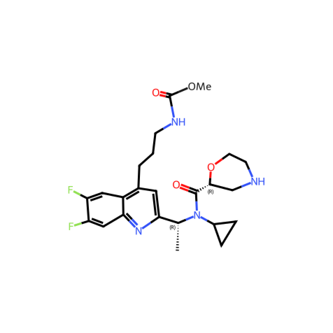 COC(=O)NCCCc1cc([C@@H](C)N(C(=O)[C@H]2CNCCO2)C2CC2)nc2cc(F)c(F)cc12